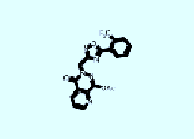 CC(=O)Oc1nn(Cc2noc(-c3ccccc3C(F)(F)F)n2)c(=O)c2cccnc12